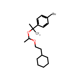 CCC(C)c1ccc(C(C)(OC(C)OCCC2CCCCC2)C(F)(F)F)cc1